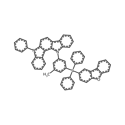 Cc1cc(-n2c3ccccc3c3ccc4c(c5ccccc5n4-c4ccccc4)c32)cc([Si](c2ccccc2)(c2ccccc2)c2ccc3oc4ccccc4c3c2)c1